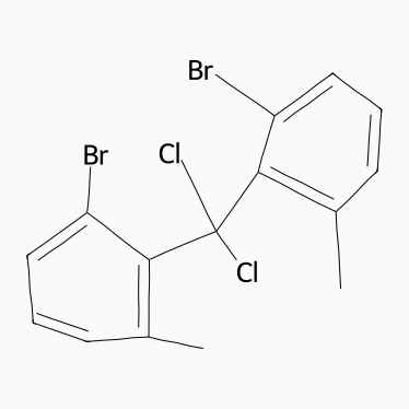 Cc1cccc(Br)c1C(Cl)(Cl)c1c(C)cccc1Br